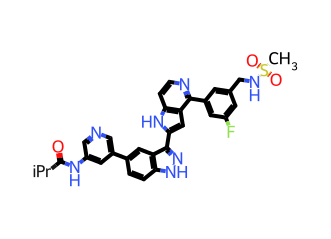 CC(C)C(=O)Nc1cncc(-c2ccc3[nH]nc(-c4cc5c(-c6cc(F)cc(CNS(C)(=O)=O)c6)nccc5[nH]4)c3c2)c1